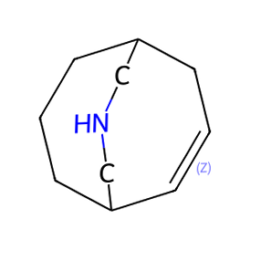 C1=C\C2CCCC(C/1)CNC2